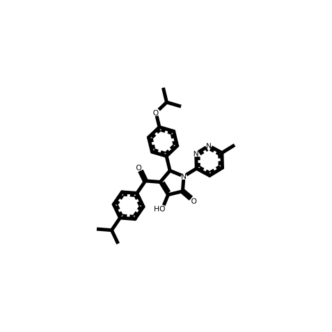 Cc1ccc(N2C(=O)C(O)=C(C(=O)c3ccc(C(C)C)cc3)C2c2ccc(OC(C)C)cc2)nn1